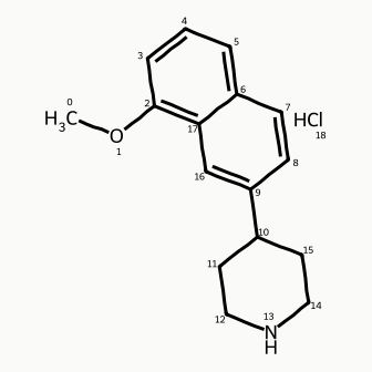 COc1cccc2ccc(C3CCNCC3)cc12.Cl